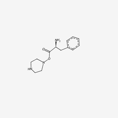 N[C@@H](Cc1ccccc1)C(=O)ON1CCNCC1